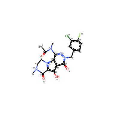 CC(C)C(=O)N(C)c1nn(Cc2ccc(F)c(Cl)c2)c(=O)c2c(O)c3n(c12)CCN(C)C3=O